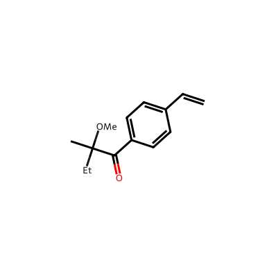 C=Cc1ccc(C(=O)C(C)(CC)OC)cc1